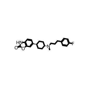 CN(CCCc1ccc(F)cc1)[C@H]1CC[C@H](c2ccc3[nH]c(=O)oc3c2)CC1